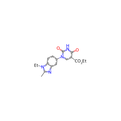 CCOC(=O)c1cn(-c2ccc3c(c2)nc(C)n3CC)c(=O)[nH]c1=O